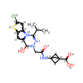 CC(C)C1=NN(CC(=O)NC23CC(C(=O)O)(C2)C3)C(O)c2cc3sc(Cl)cc3n21